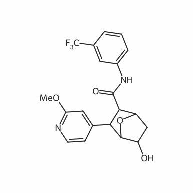 COc1cc(C2C3OC(CC3O)C2C(=O)Nc2cccc(C(F)(F)F)c2)ccn1